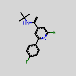 C=C(NC(C)(C)C)c1cc(Br)nc(-c2ccc(F)cc2)c1